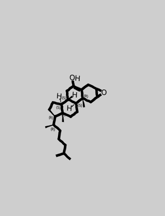 CC(C)CCC[C@@H](C)[C@H]1CC[C@H]2[C@@H]3CC(O)=C4CC5OC5C[C@]4(C)[C@H]3CC[C@]12C